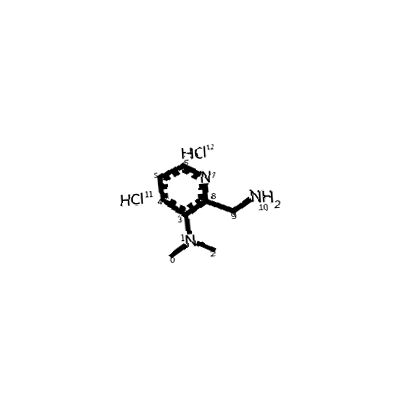 CN(C)c1cccnc1CN.Cl.Cl